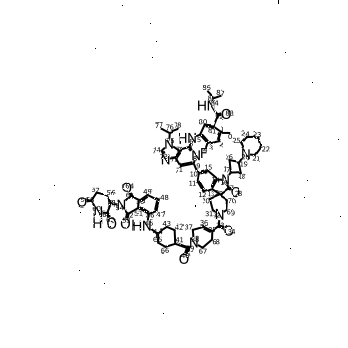 Cc1cc(F)c(Nc2nc(-c3ccc4c(c3)N(C3CC(N5CCCCC5)C3)C(=O)C43CCN(C(=O)C4=CCN(C(=O)C5CCC(Nc6cccc7c6C(=O)N([C@@H]6CCC(=O)NC6=O)C7=O)CC5)CC4)CC3)cc3ncn(C(C)C)c23)cc1C(=O)NC(C)C